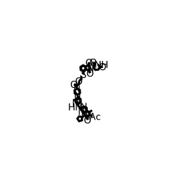 CC(=O)c1c(C)c2cnc(Nc3ccc(N4CCN(C(=O)COCCSc5cccc6c5C(=O)N(C5CCC(=O)NC5=O)C6=O)CC4)cn3)nc2n(C2CCCC2)c1=O